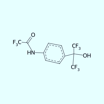 O=C(Nc1ccc(C(O)(C(F)(F)F)C(F)(F)F)cc1)C(F)(F)F